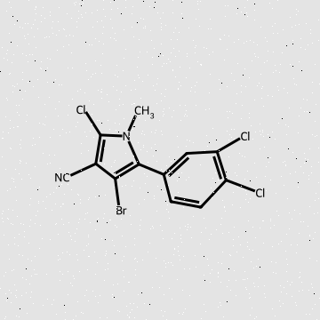 Cn1c(Cl)c(C#N)c(Br)c1-c1ccc(Cl)c(Cl)c1